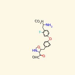 NC(Cc1ccc(Oc2ccc(CC3OCNC3C(=O)C=O)cc2)cc1F)C(=O)O